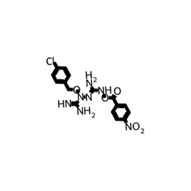 N=C(N)N(N=C(N)NOC(=O)c1ccc([N+](=O)[O-])cc1)OCc1ccc(Cl)cc1